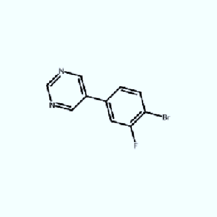 Fc1cc(-c2cncnc2)ccc1Br